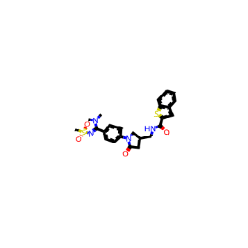 CN(C)C(=NS(C)(=O)=O)c1ccc(N2CC(CNC(=O)c3cc4ccccc4s3)CC2=O)cc1